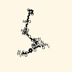 CC(C)C(=O)OCc1ccc(NC(=O)[C@@H](CCCNC(N)=O)NC(=O)[C@H](NC(=O)OCCOCCNS(=O)(=O)NC(=O)OCCCNC(=O)CCCCCN2C(=O)C=CC2=O)C(C)C)cc1